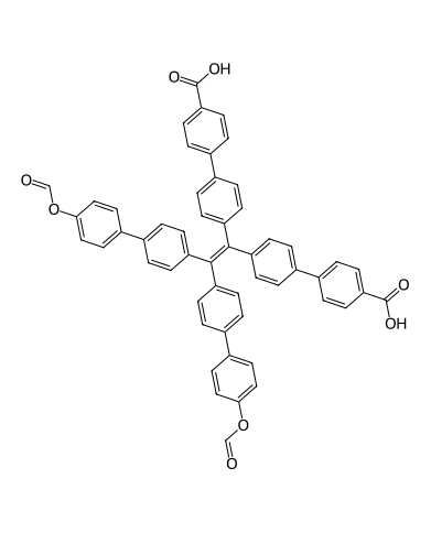 O=COc1ccc(-c2ccc(C(=C(c3ccc(-c4ccc(C(=O)O)cc4)cc3)c3ccc(-c4ccc(C(=O)O)cc4)cc3)c3ccc(-c4ccc(OC=O)cc4)cc3)cc2)cc1